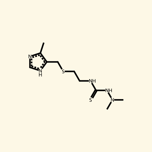 Cc1nc[nH]c1CSCCNC(=S)NN(C)C